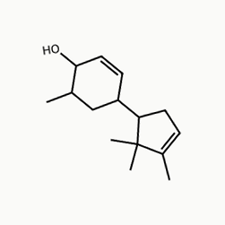 CC1=CCC(C2C=CC(O)C(C)C2)C1(C)C